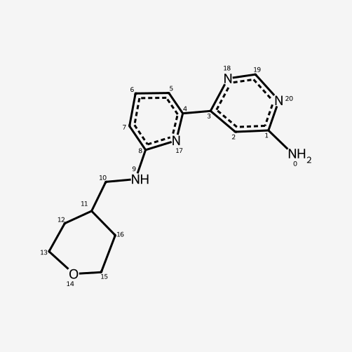 Nc1cc(-c2cccc(NCC3CCOCC3)n2)ncn1